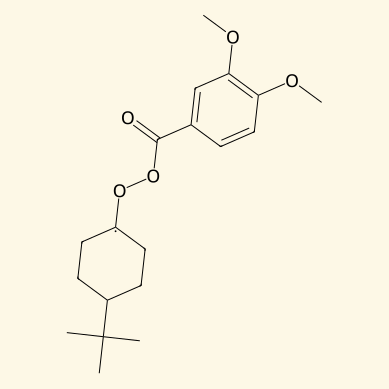 COc1ccc(C(=O)OO[C]2CCC(C(C)(C)C)CC2)cc1OC